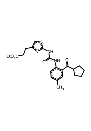 CCOC(=O)CCc1csc(NC(=O)Nc2ccc(C)cc2C(=O)C2CCCC2)n1